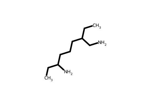 CCC(N)CCCC(CC)CN